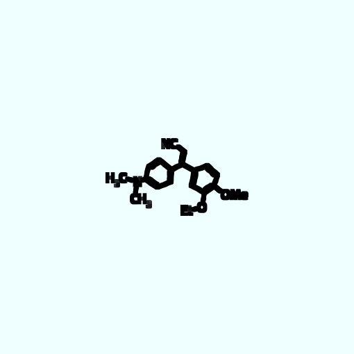 CCOc1cc(C(=CC#N)c2ccc(N(C)C)cc2)ccc1OC